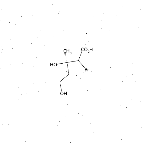 C[C@@](O)(CCO)C(Br)C(=O)O